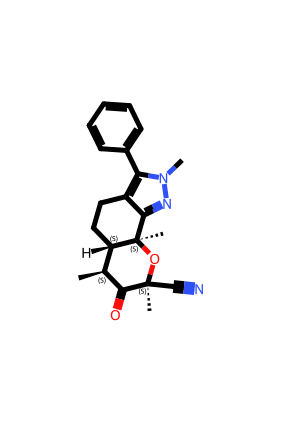 C[C@@H]1C(=O)[C@](C)(C#N)O[C@]2(C)c3nn(C)c(-c4ccccc4)c3CC[C@@H]12